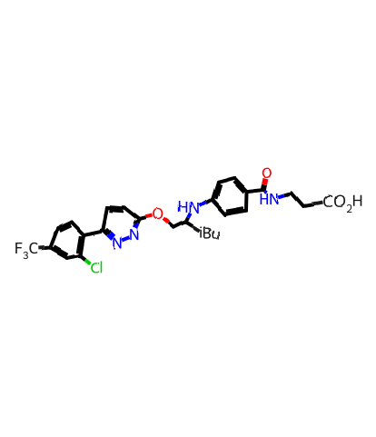 CCC(C)C(COc1ccc(-c2ccc(C(F)(F)F)cc2Cl)nn1)Nc1ccc(C(=O)NCCC(=O)O)cc1